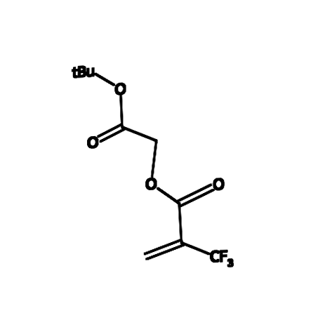 C=C(C(=O)OCC(=O)OC(C)(C)C)C(F)(F)F